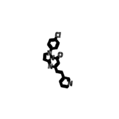 O=c1cc(/C=C/c2cccnc2)nc2ccn(-c3ccc(Cl)cc3)n12